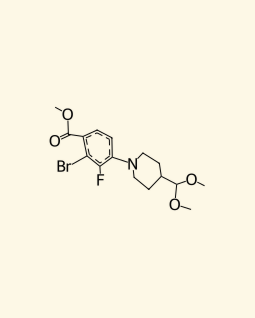 COC(=O)c1ccc(N2CCC(C(OC)OC)CC2)c(F)c1Br